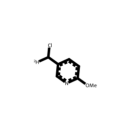 [2H]C(Cl)c1ccc(OC)nc1